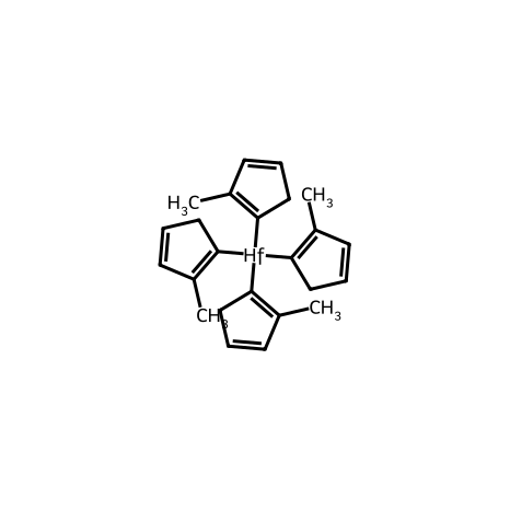 CC1=[C]([Hf]([C]2=C(C)C=CC2)([C]2=C(C)C=CC2)[C]2=C(C)C=CC2)CC=C1